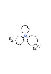 CCC(C)(C)C1CCCCCC(N(C2CCCCCCCC2)C2CCCCC(C(C)(C)CC)CCC2)CCCC1